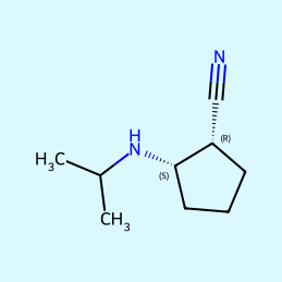 CC(C)N[C@H]1CCC[C@H]1C#N